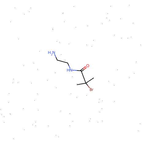 CC(C)(Br)C(=O)NCCN